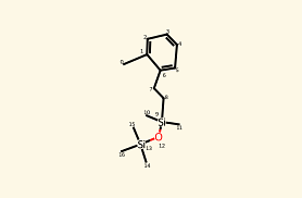 Cc1ccccc1CC[Si](C)(C)O[Si](C)(C)C